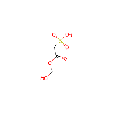 O=C(CS(=O)(=O)O)OCO